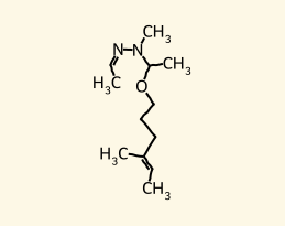 C/C=N\N(C)C(C)OCCC/C(C)=C/C